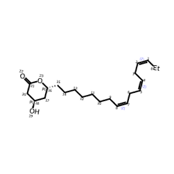 CC/C=C\C/C=C\C/C=C\CCCCCCC[C@@H]1C[C@@H](O)CC(=O)O1